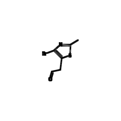 Cc1nc(Br)c(CC=O)s1